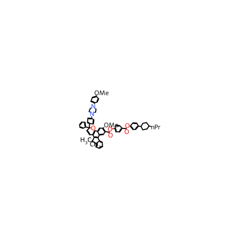 CCCC1CCC(c2ccc(OC(=O)c3ccc(OC(=O)c4cc5c6c(c7c(c5cc4OC)OC(c4ccccc4)(c4ccc(N5CCN(c8ccc(OC)cc8)CC5)cc4)C=C7)C(C)(C)c4ccccc4-6)cc3)cc2)CC1